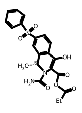 CCC(=O)OC(=O)C1=C(O)c2ccc(S(=O)(=O)c3ccccc3)cc2[C@@H](C)N1C(N)=O